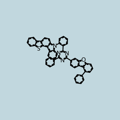 c1ccc(-c2nc(-c3ccc4c(c3)oc3cccc(-c5ccccc5)c34)nc(-c3ccccc3-n3c4ccccc4c4c5sc6ccccc6c5ccc43)n2)cc1